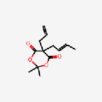 C=CCC1(C/C=C/C)C(=O)OC(C)(C)OC1=O